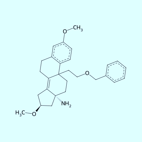 COc1ccc2c(c1)CCC1=C3C[C@H](OC)C[C@]3(N)CCC12CCOCc1ccccc1